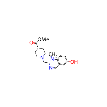 C=Nc1ccc(O)cc1/C=N\CCN1CCC(C(=O)OC)CC1